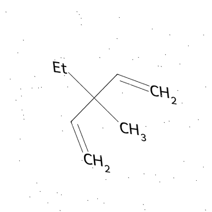 C=CC(C)(C=C)CC